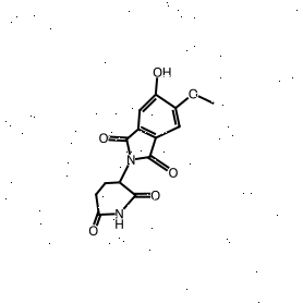 COc1cc2c(cc1O)C(=O)N(C1CCC(=O)NC1=O)C2=O